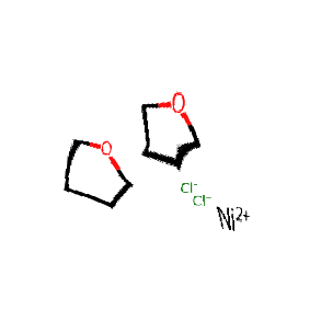 C1CCOC1.C1CCOC1.[Cl-].[Cl-].[Ni+2]